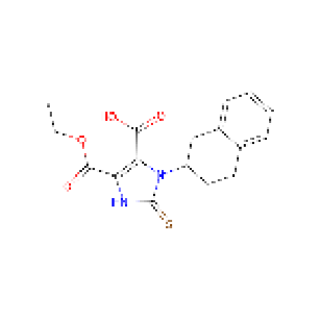 CCOC(=O)c1[nH]c(=S)n(C2CCc3ccccc3C2)c1C(=O)O